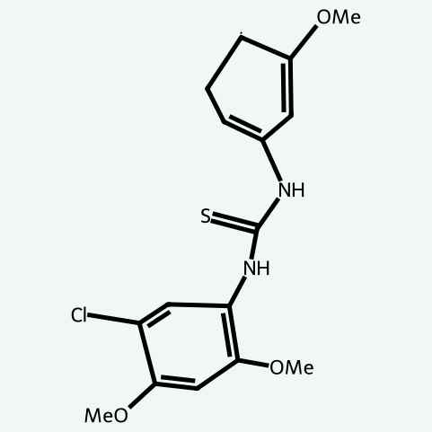 COC1=CC(NC(=S)Nc2cc(Cl)c(OC)cc2OC)=CC[CH]1